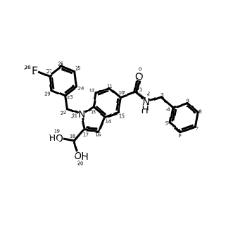 O=C(NCc1ccccc1)c1ccc2c(c1)cc(C(O)O)n2Cc1cccc(F)c1